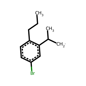 [CH2]C(C)c1cc(Br)ccc1CCC